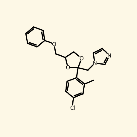 Cc1cc(Cl)ccc1C1(Cn2ccnc2)OCC(COc2ccccc2)O1